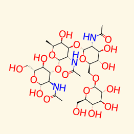 CC(=O)N[C@@H]1[C@H](O[C@H]2[C@H](O)[C@@H](CO)O[C@@H](O)[C@@H]2NC(C)=O)O[C@@H](C)[C@@H](O)[C@H]1O[C@H]1O[C@H](CO[C@@H]2O[C@H](CO)[C@@H](O)[C@H](O)[C@H]2O)[C@@H](O)[C@H](O)[C@H]1NC(C)=O